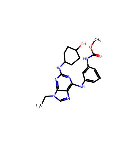 CCn1cnc2c(Nc3cccc(NC(=O)OC)c3)nc(NC3CCC(O)CC3)nc21